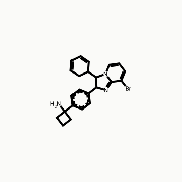 NC1(c2ccc(C3N=C4C(Br)=CC=CN4C3C3C=CC=CC3)cc2)CCC1